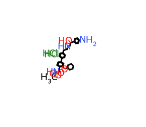 CS(=O)(=O)NC(=O)c1ccc(-c2ccc(CCNC[C@@H](O)c3ccc(N)cc3)cc2)cc1OC1CCCCC1.Cl.Cl